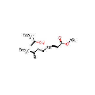 C=C(C=CC#N)C(=O)OCC.C=C(O)C(=O)OCC.C=CC(=O)OCCCC